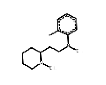 CN(CCC1CCCCN1C)c1ccccc1F